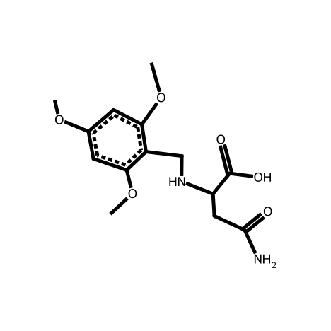 COc1cc(OC)c(CNC(CC(N)=O)C(=O)O)c(OC)c1